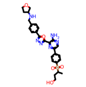 CC(CCO)S(=O)(=O)c1ccc(-c2cnc(N)c(-c3nnc(-c4ccc(CNC5CCOC5)cc4)o3)n2)cc1